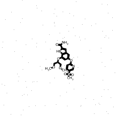 COCC(COC)Oc1cc(Oc2ccc(S(C)(=O)=O)cn2)cc2c1BC(C(N)=O)=C2